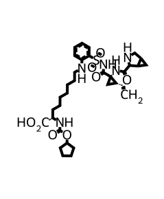 C=C[C@@H]1C[C@@]1(NC(=O)C1NCC2CC21)C(=O)NS(=O)(=O)c1ccccc1NCCCCCCC[C@H](NC(=O)OC1CCCC1)C(=O)O